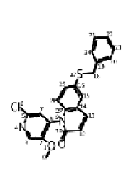 COc1cnc(Cl)cc1-n1c(=O)ccc2cc(SCc3ccccc3)ccc21